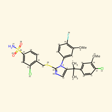 COc1cc(-n2c(C(C)(C)c3ccc(Cl)c(OC)c3)cnc2SCc2ccc(S(N)(=O)=O)cc2Cl)ccc1F